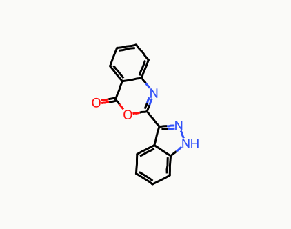 O=c1oc(-c2n[nH]c3ccccc23)nc2ccccc12